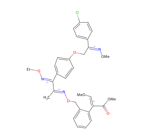 CCO/N=C(/C(C)=N/OCc1ccccc1/C(=C\OC)C(=O)OC)c1ccc(OC/C(=N\OC)c2ccc(Cl)cc2)cc1